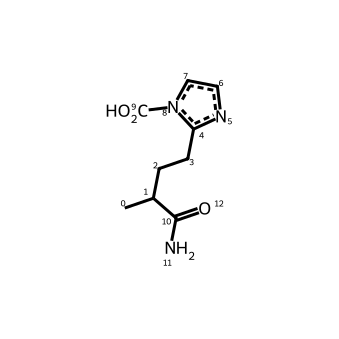 CC(CCc1nccn1C(=O)O)C(N)=O